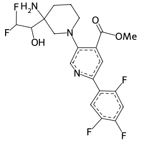 COC(=O)c1cc(-c2cc(F)c(F)cc2F)ncc1N1CCCC(N)(C(O)C(F)F)C1